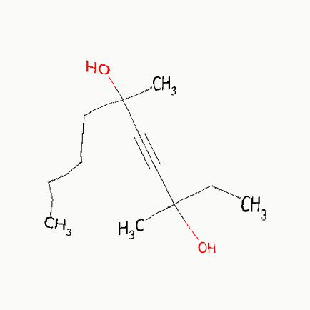 CCCCC(C)(O)C#CC(C)(O)CC